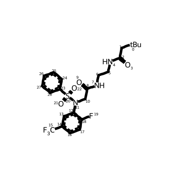 CC(C)(C)CC(=O)NCCNC(=O)CN(c1cc(C(F)(F)F)ccc1F)S(=O)(=O)c1ccccc1